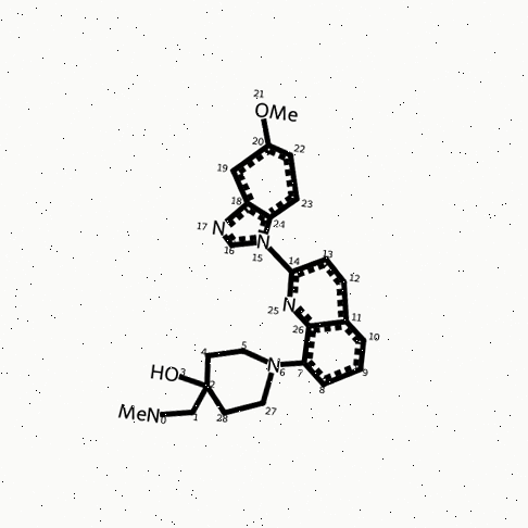 CNCC1(O)CCN(c2cccc3ccc(-n4cnc5cc(OC)ccc54)nc23)CC1